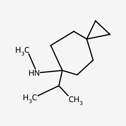 CNC1(C(C)C)CCC2(CC2)CC1